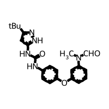 CN(C=O)c1cccc(Oc2ccc(NC(=O)Nc3cc(C(C)(C)C)n[nH]3)cc2)c1